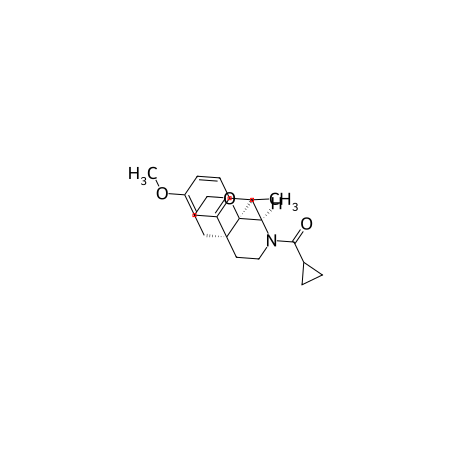 CC[C@@]12OCCC[C@@]13CCN(C(=O)C1CC1)[C@@H]2Cc1ccc(OC)cc13